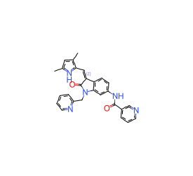 Cc1cc(C)c(/C=C2\C(=O)N(Cc3ccccn3)c3cc(NC(=O)c4cccnc4)ccc32)[nH]1